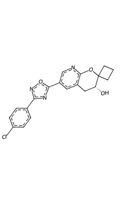 O[C@@H]1Cc2cc(-c3nc(-c4ccc(Cl)cc4)no3)cnc2OC12CCC2